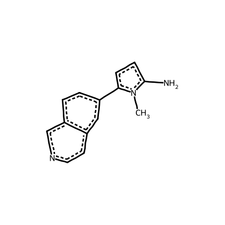 Cn1c(N)ccc1-c1ccc2cnccc2c1